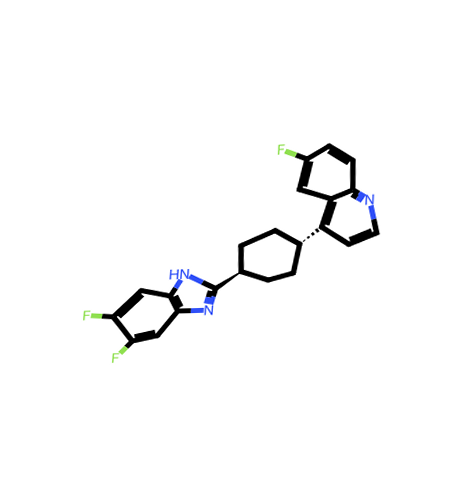 Fc1ccc2nccc([C@H]3CC[C@H](c4nc5cc(F)c(F)cc5[nH]4)CC3)c2c1